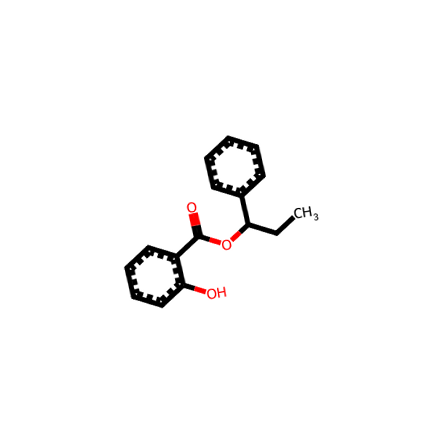 CCC(OC(=O)c1ccccc1O)c1ccccc1